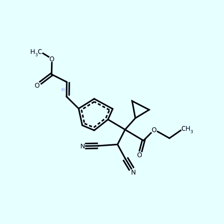 CCOC(=O)C(c1ccc(/C=C/C(=O)OC)cc1)(C(C#N)C#N)C1CC1